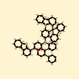 c1ccc(-c2ccccc2-c2ccccc2N(c2ccc(-c3cccc4c3oc3ccccc34)cc2)c2ccc3c(c2)C2(c4ccccc4-c4ccccc42)c2cccc4c5ccccc5n-3c24)cc1